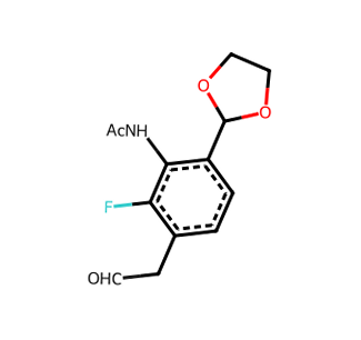 CC(=O)Nc1c(C2OCCO2)ccc(CC=O)c1F